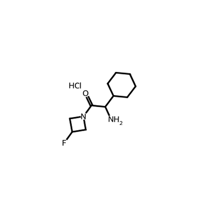 Cl.NC(C(=O)N1CC(F)C1)C1CCCCC1